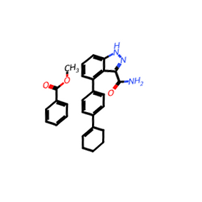 COC(=O)c1ccccc1.NC(=O)c1n[nH]c2cccc(-c3ccc(C4=CCCCC4)cc3)c12